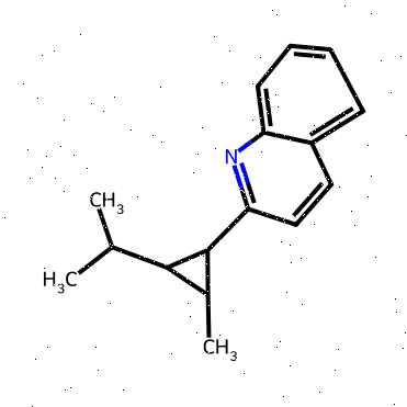 CC(C)C1C(C)C1c1ccc2ccccc2n1